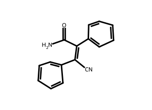 N#C/C(=C(/C(N)=O)c1ccccc1)c1ccccc1